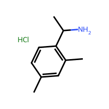 Cc1ccc(C(C)N)c(C)c1.Cl